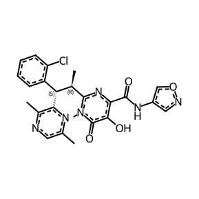 Cc1cnc(C)c([C@H](c2ccccc2Cl)[C@@H](C)c2nc(C(=O)Nc3cnoc3)c(O)c(=O)n2C)n1